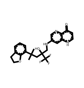 CC(C)(CC(O)(CNc1cnc2c(=O)cc[nH]c2c1)C(F)(F)F)c1cccc2c1OCC2